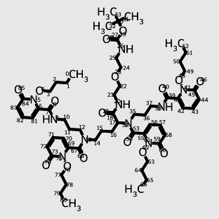 CCCCOn1c(C(=O)NCCCN(CCCC(C(=O)NCCOCCNC(=O)OC(C)(C)C)N(CCCNC(=O)c2cccc(=O)n2OCCCC)C(=O)c2cccc(=O)n2OCCCC)C(=O)c2cccc(=O)n2OCCCC)cccc1=O